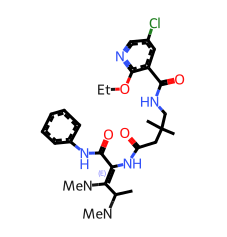 CCOc1ncc(Cl)cc1C(=O)NCC(C)(C)CC(=O)N/C(C(=O)Nc1ccccc1)=C(/NC)C(C)NC